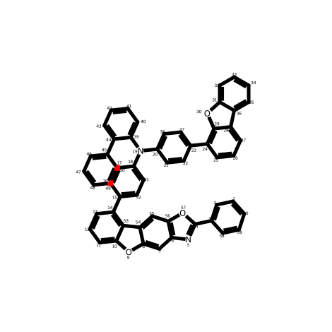 c1ccc(-c2nc3cc4oc5cccc(-c6ccc(N(c7ccc(-c8cccc9c8oc8ccccc89)cc7)c7ccccc7-c7ccccc7)cc6)c5c4cc3o2)cc1